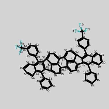 FC(F)(F)c1ccc(-c2c3c(c(-c4ccccc4)c4ccccc24)-c2ccc4c5ccc6c7c(ccc(c8ccc-3c2c48)c75)-c2c-6c(-c3ccccc3)c3ccccc3c2-c2cccc(C(F)(F)F)c2)cc1